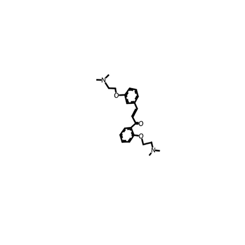 CN(C)CCOc1cccc(C=CC(=O)c2ccccc2OCCN(C)C)c1